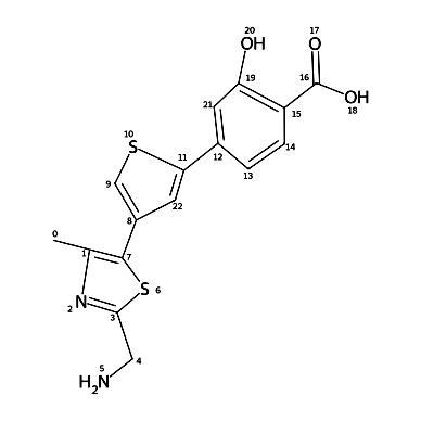 Cc1nc(CN)sc1-c1csc(-c2ccc(C(=O)O)c(O)c2)c1